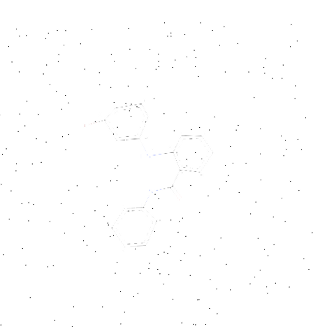 O=C(Nc1ccccc1)c1ccccc1Nc1cccc(Br)c1